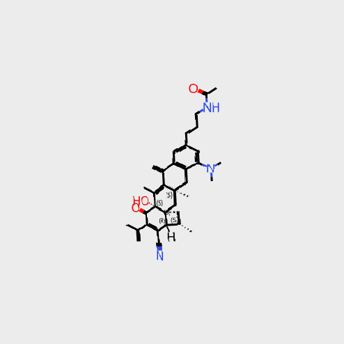 C=C(C)C1=C(C#N)[C@H]2[C@@H](C)C[C@]23C[C@]2(C)Cc4c(cc(CCCNC(C)=O)cc4N(C)C)C(=C)C2=C(C)[C@]3(O)C1=O